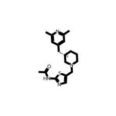 CC(=O)Nc1ncc(CN2CCC[C@@H](Cc3cc(C)nc(C)c3)C2)s1